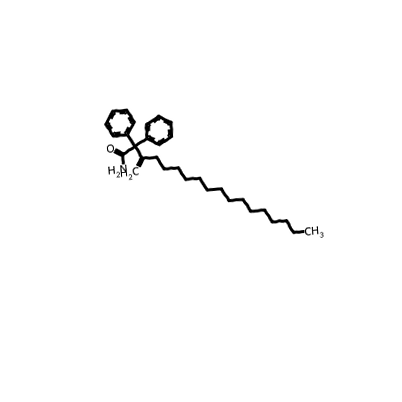 C=C(CCCCCCCCCCCCCCC)C(C(N)=O)(c1ccccc1)c1ccccc1